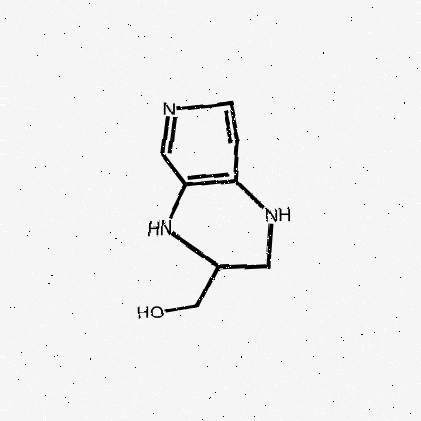 OCC1CNc2ccncc2N1